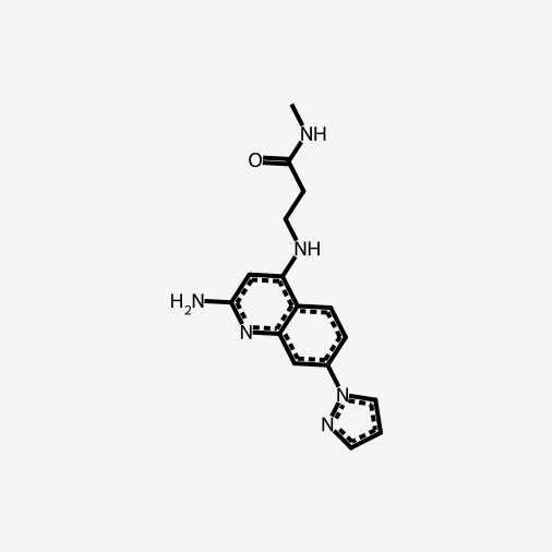 CNC(=O)CCNc1cc(N)nc2cc(-n3cccn3)ccc12